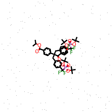 CC(C)OC(=O)c1ccc(C(Cc2ccc(C(F)(F)P(=O)(OC(C)(C)C)OC(C)(C)C)cc2)(Cc2ccc(C(F)(F)P(=O)(OC(C)(C)C)OC(C)(C)C)cc2)C(=O)c2ccc(F)cc2)cc1